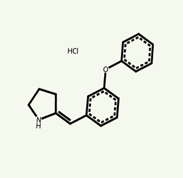 C(=C1/CCCN1)/c1cccc(Oc2ccccc2)c1.Cl